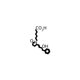 O=C(O)CCCCCCN1C(=O)CCC1C=CC(O)Cc1ccccc1